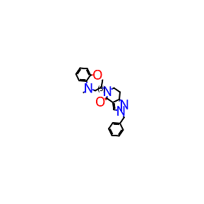 CN1C[C@H](N2CCc3nn(Cc4ccccc4)cc3C2=O)COc2ccccc21